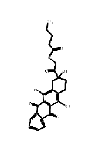 CCCCC(=O)OCC(=O)C1(O)CCc2c(O)c3c(c(O)c2C1)C(=O)c1ccccc1C3=O